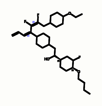 C=C/C=C(\C(F)=C(\F)CC1CCC(OCC)CC1)C1CCC(CC(O)[C@@H]2CC[C@H](OCCCC)C(F)C2)CC1